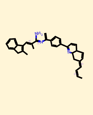 C=C(/N=C(N)/C(C)=C/C1=C(C)Cc2ccccc21)c1ccc(C2=NC3C/C(=C\C=C/C)C=CC3C=C2)cc1